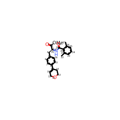 COC(=O)[C@H](Cc1ccc(C2=CCOCC2)cc1)NC(=O)c1c(C)cccc1C